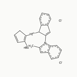 CCCCC1=[C]([Hf+2][CH]2C(n3c(C)cc4ccccc43)=Cc3ccccc32)CC=C1.[Cl-].[Cl-]